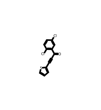 O=C(C#Cc1cccs1)c1cc(Cl)ccc1Cl